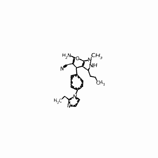 CCCC1NN(C)C2=C1C(c1ccc(-n3ccnc3CC)cc1)C(C#N)=C(N)O2